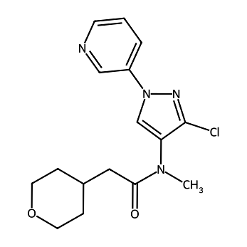 CN(C(=O)CC1CCOCC1)c1cn(-c2cccnc2)nc1Cl